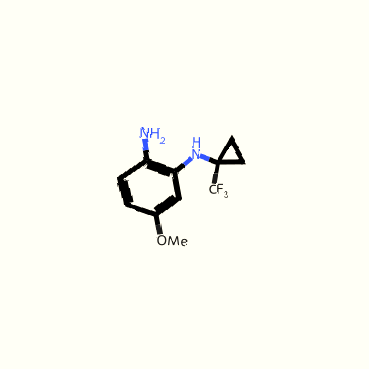 COc1ccc(N)c(NC2(C(F)(F)F)CC2)c1